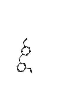 C=Cc1cccc(Cc2cccc(C=C)c2)c1